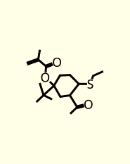 C=C(C)C(=O)OC1(C(C)(C)C)CCC(SCC)C(C(C)=O)C1